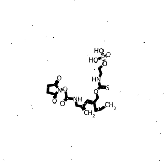 C=C(/C=C(\C=C/C)COC(=S)NCCOP(=O)(O)O)CNC(=O)ON1C(=O)CCC1=O